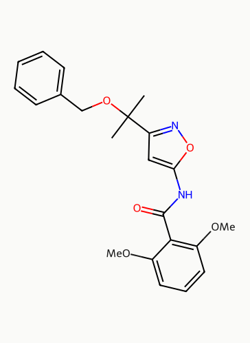 COc1cccc(OC)c1C(=O)Nc1cc(C(C)(C)OCc2ccccc2)no1